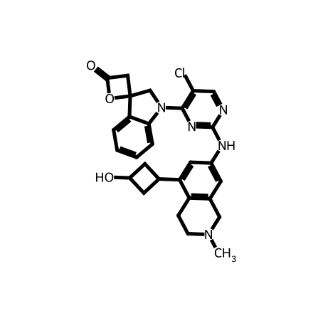 CN1CCc2c(cc(Nc3ncc(Cl)c(N4CC5(CC(=O)O5)c5ccccc54)n3)cc2C2CC(O)C2)C1